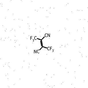 N#C/C(=C(/C#N)C(F)(F)F)C(F)(F)F